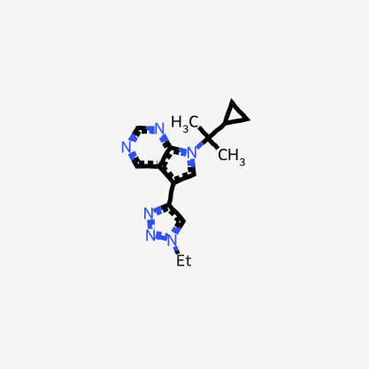 CCn1cc(-c2cn(C(C)(C)C3CC3)c3ncncc23)nn1